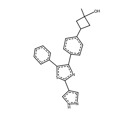 CC1(O)CC(c2ccc(-c3nc(-c4cn[nH]c4)sc3-c3ccccc3)cc2)C1